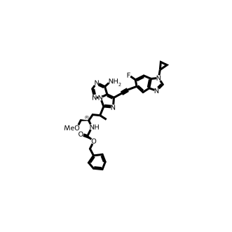 COC[C@@H](CC(C)c1nc(C#Cc2cc3ncn(C4CC4)c3cc2F)c2c(N)ncnn12)NC(=O)OCc1ccccc1